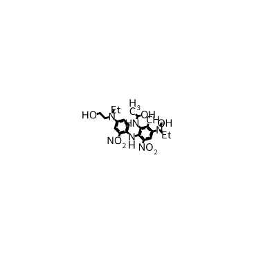 CCN(O)c1cc([N+](=O)[O-])c(Nc2ccc(N(CC)CCO)cc2[N+](=O)[O-])c(NC(C)O)c1C